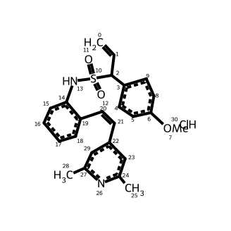 C=CC(c1ccc(OC)cc1)S(=O)(=O)Nc1ccccc1C=Cc1cc(C)nc(C)c1.Cl